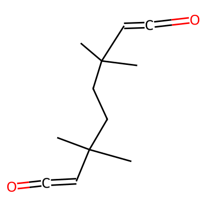 CC(C)(C=C=O)CCC(C)(C)C=C=O